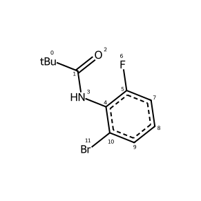 CC(C)(C)C(=O)Nc1c(F)cccc1Br